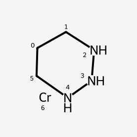 C1CNNNC1.[Cr]